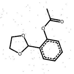 CC(=O)Oc1ccccc1C1OCCO1